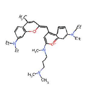 CCN(CC)c1ccc2c(c1)O/C(=C\c1cc(N(C)CCCN(C)C)[o+]c3cc(N(CC)CC)ccc13)C=C2C